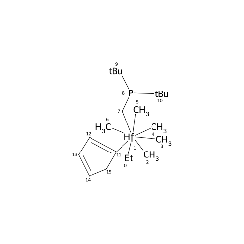 C[CH2][Hf]([CH3])([CH3])([CH3])([CH3])([CH3])([CH2]P(C(C)(C)C)C(C)(C)C)[C]1=CC=CC1